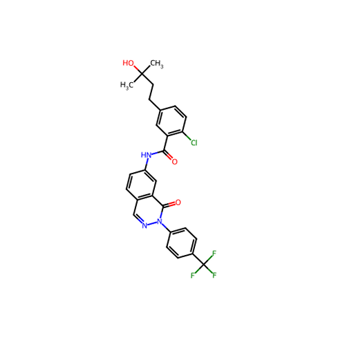 CC(C)(O)CCc1ccc(Cl)c(C(=O)Nc2ccc3cnn(-c4ccc(C(F)(F)F)cc4)c(=O)c3c2)c1